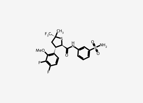 COc1c([C@@H]2C[C@](C)(C(F)(F)F)S[C@H]2C(=O)Nc2cccc(S(N)(=O)=O)c2)ccc(F)c1F